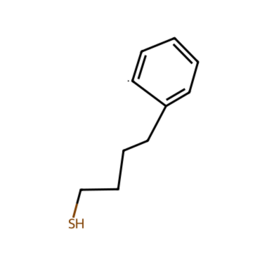 SCCCCc1[c]cccc1